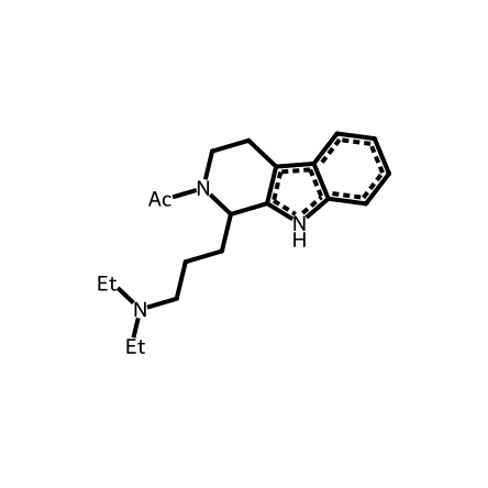 CCN(CC)CCCC1c2[nH]c3ccccc3c2CCN1C(C)=O